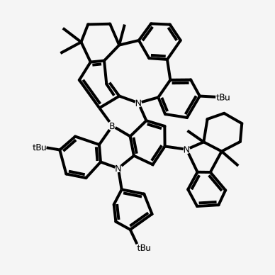 CC(C)(C)c1ccc(N2c3ccc(C(C)(C)C)cc3B3c4cc5c6cc4N(c4ccc(C(C)(C)C)cc4-c4cccc(c4)C6(C)CCC5(C)C)c4cc(N5c6ccccc6C6(C)CCCCC56C)cc2c43)cc1